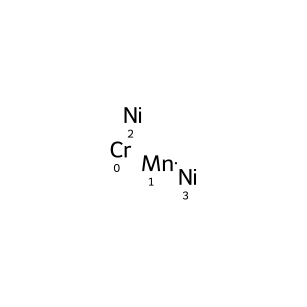 [Cr].[Mn].[Ni].[Ni]